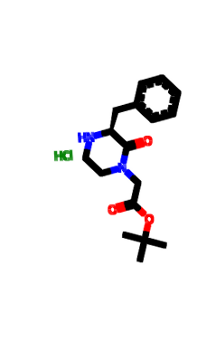 CC(C)(C)OC(=O)CN1CCN[C@@H](Cc2ccccc2)C1=O.Cl